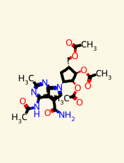 CC(=O)Nc1nc(C)nc2c1c(C(N)=O)cn2[C@@H]1C[C@H](COC(C)=O)[C@@H](OC(C)=O)[C@H]1OC(C)=O